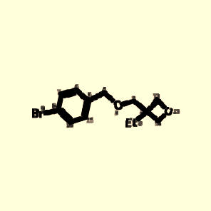 CCC1(COCc2ccc(Br)cc2)COC1